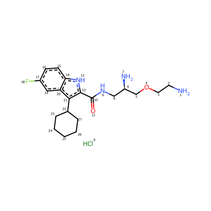 Cl.NCCOC[C@H](N)CNC(=O)c1[nH]c2ccc(F)cc2c1C1CCCCC1